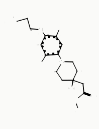 CC(C)(C)OC(=O)CC1(O)CCN(c2cc(Cl)c(NCCC(=O)O)cc2Cl)CC1